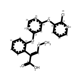 CO/C=C(/C(=O)O)c1ccccc1Oc1cc(Oc2cccnc2Cl)ncn1